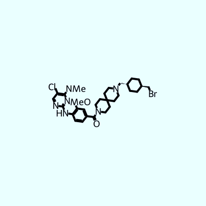 CNc1nc(Nc2ccc(C(=O)N3CCC4(CCN(C[C@H]5CC[C@H](CBr)CC5)CC4)CC3)cc2OC)ncc1Cl